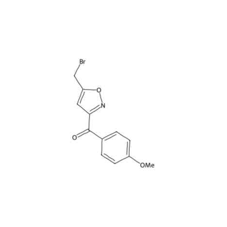 COc1ccc(C(=O)c2cc(CBr)on2)cc1